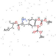 CCC(C)OC(=O)Oc1cc(C[C@H](N)C(=O)OC(C)COC(C)=O)ccc1OC(=O)O[C@@H](C)CC